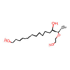 CC(C)(C)C(OCCO)C(O)CCCCCCCCCCCO